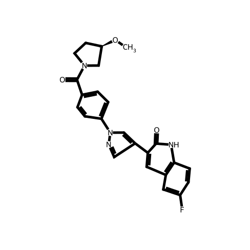 CO[C@@H]1CCN(C(=O)c2ccc(-n3cc(-c4cc5cc(F)ccc5[nH]c4=O)cn3)cc2)C1